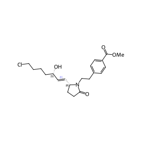 COC(=O)c1ccc(CCN2C(=O)CC[C@@H]2/C=C/[C@@H](O)CCCCCl)cc1